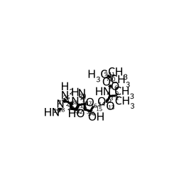 CC(C)[C@H](NC(=O)OC(C)(C)C)C(=O)OC[C@H]1O[C@@](C#N)(c2ccc(/C(N)=N\C=N)[nH]2)[C@H](O)[C@@H]1O